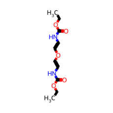 CCOC(=O)NC=COC=CNC(=O)OCC